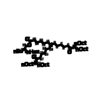 CCCCCCCCN(CCCCCCCC)C(=O)CCCCCN(CCCCCC(=O)OCC(CCCC)CCCCCC)CCCCCC(=O)N(CCCCCCCC)CCCCCCCC